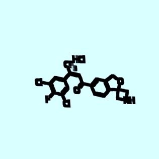 Cl.O=C(/C=C(\c1cc(Cl)c(F)c(Cl)c1)C(F)(F)F)c1ccc2c(c1)COC21CNC1